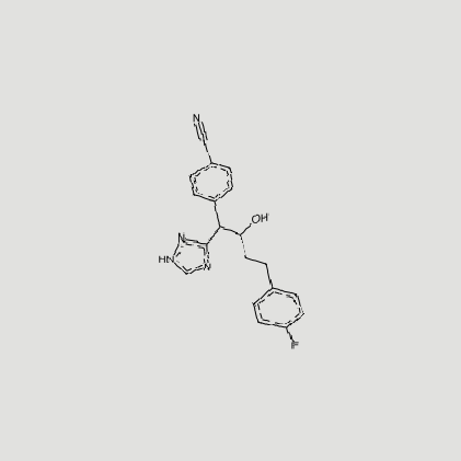 N#Cc1ccc(C(c2nc[nH]n2)C(O)CCc2ccc(F)cc2)cc1